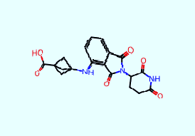 O=C1CCC(N2C(=O)c3cccc(NC45CC(C(=O)O)(C4)C5)c3C2=O)C(=O)N1